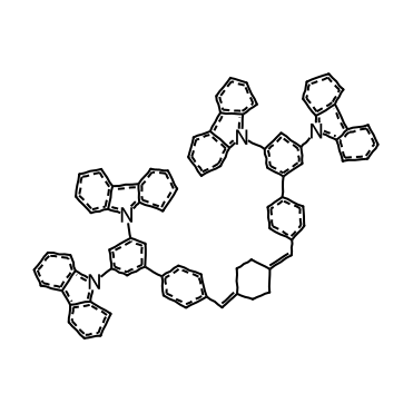 C(=C1CCC(=Cc2ccc(-c3cc(-n4c5ccccc5c5ccccc54)cc(-n4c5ccccc5c5ccccc54)c3)cc2)CC1)c1ccc(-c2cc(-n3c4ccccc4c4ccccc43)cc(-n3c4ccccc4c4ccccc43)c2)cc1